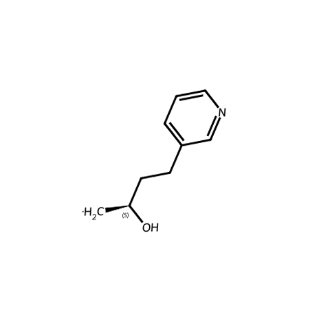 [CH2][C@H](O)CCc1cccnc1